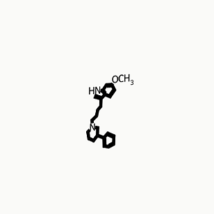 COc1ccc2c(CCCCN3CCCC(c4ccccc4)C3)c[nH]c2c1